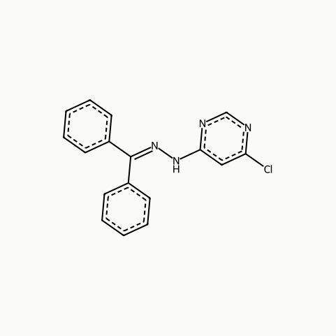 Clc1cc(NN=C(c2ccccc2)c2ccccc2)ncn1